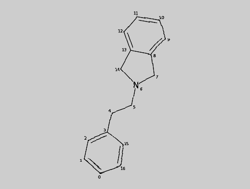 c1ccc(CCN2Cc3ccccc3C2)cc1